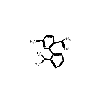 Cc1ccc(C(=N)N)c(-c2ccccc2C(C)C)c1